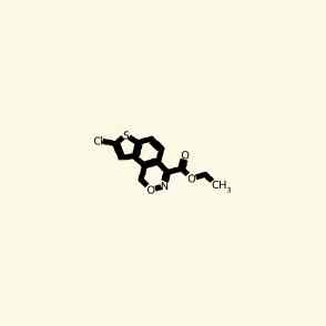 CCOC(=O)C1=NOCc2c1ccc1sc(Cl)cc21